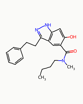 CCCCN(C)C(=O)c1cc2c(CCc3ccccc3)n[nH]c2cc1O